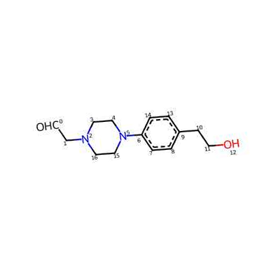 O=CCN1CCN(c2ccc(CCO)cc2)CC1